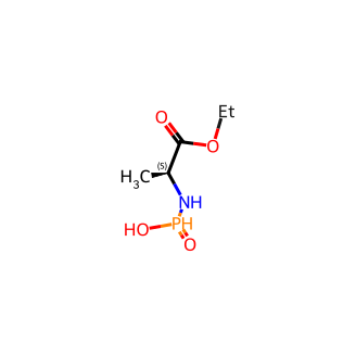 CCOC(=O)[C@H](C)N[PH](=O)O